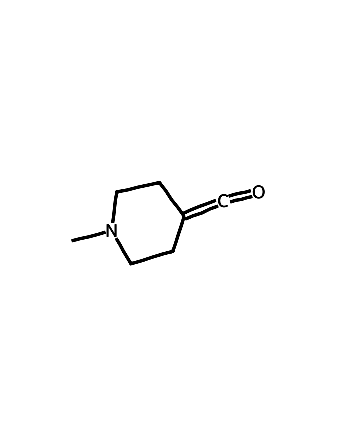 CN1CCC(=C=O)CC1